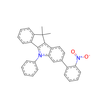 CC1(C)c2ccccc2-c2c1c1ccc(-c3ccccc3[N+](=O)[O-])cc1n2-c1ccccc1